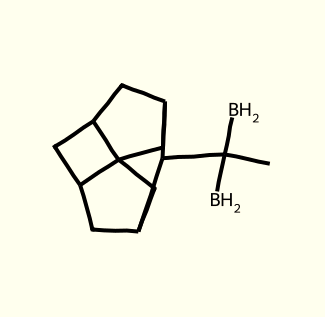 BC(B)(C)C1C2CC3CC4CC1CC34C2